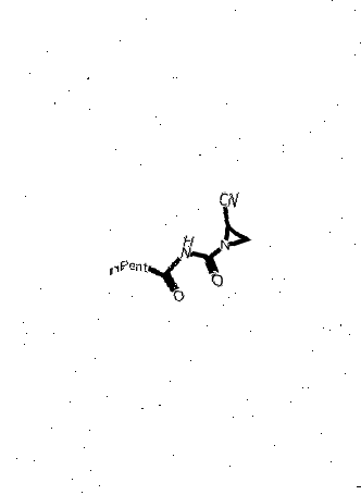 CCCCCC(=O)NC(=O)N1CC1C#N